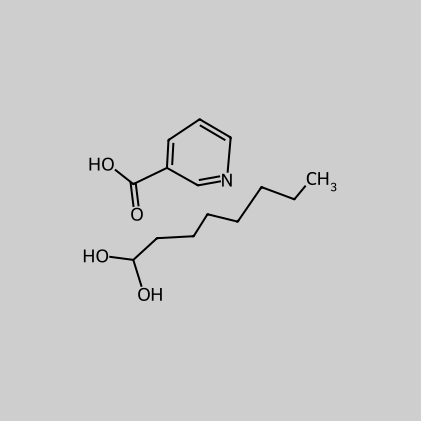 CCCCCCCC(O)O.O=C(O)c1cccnc1